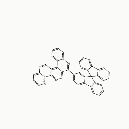 c1ccc2c(c1)-c1ccccc1C21c2ccccc2-c2ccc(-c3nc4ccccc4c4c3cnc3c4ccc4cccnc43)cc21